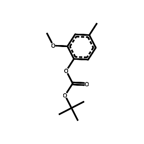 COc1cc(C)ccc1OC(=O)OC(C)(C)C